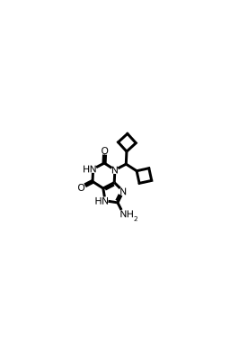 Nc1nc2c([nH]1)c(=O)[nH]c(=O)n2C(C1CCC1)C1CCC1